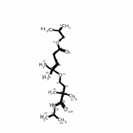 CC(C)COC(=O)CCC(C)(N)OCCC(C)(C)C(=O)NC(C)C